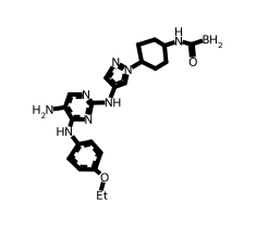 BC(=O)NC1CCC(n2cc(Nc3ncc(N)c(Nc4ccc(OCC)cc4)n3)cn2)CC1